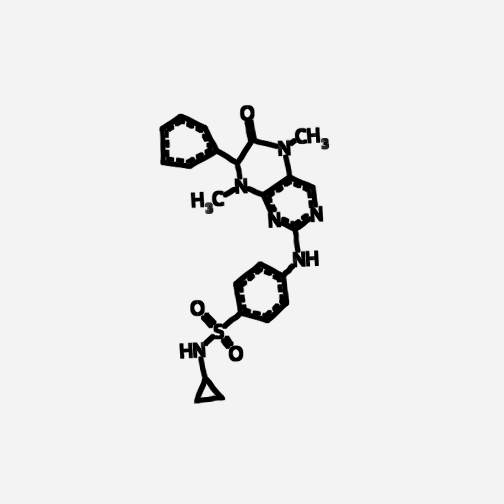 CN1C(=O)C(c2ccccc2)N(C)c2nc(Nc3ccc(S(=O)(=O)NC4CC4)cc3)ncc21